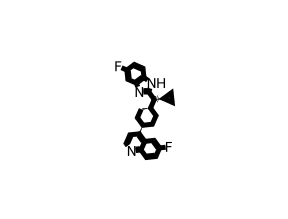 Fc1ccc2[nH]c([C@H](C3CC3)[C@H]3CC[C@@H](c4ccnc5ccc(F)cc54)CC3)nc2c1